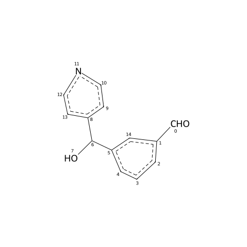 O=Cc1cccc(C(O)c2ccncc2)c1